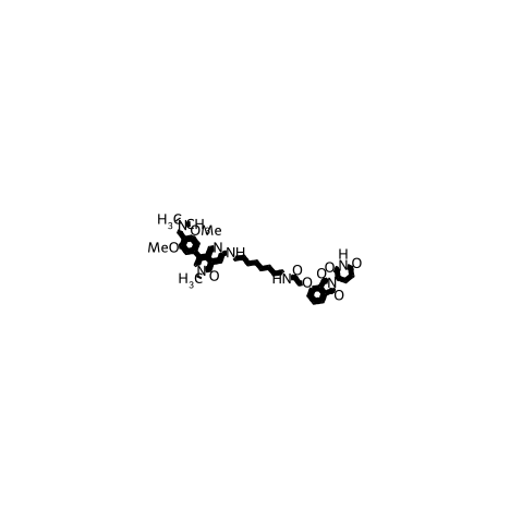 COc1cc(-c2cn(C)c(=O)c3cc(NCCCCCCCCNC(=O)COc4cccc5c4C(=O)N(C4CCC(=O)NC4=O)C5=O)ncc23)cc(OC)c1CN(C)C